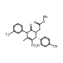 CCOC(=O)C1=C(C)N(c2cccc(C(F)(F)F)c2)C(=O)N(CC(=O)OC(C)(C)C)[C@@H]1c1ccc(C#N)cc1